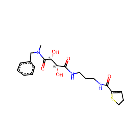 CN(Cc1ccccc1)C(=O)[C@H](O)[C@@H](O)C(=O)NCCCNC(=O)C1=CCCS1